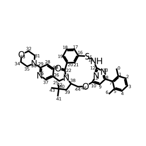 Cc1cccc(C)c1-c1cc2nc(n1)NSc1cccc(c1)C(=O)N(Cc1ccc(N3CCOCC3)nc1)C(CC(C)(C)C)CO2